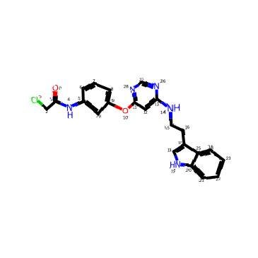 O=C(CCl)Nc1cccc(Oc2cc(NCCc3c[nH]c4ccccc34)ncn2)c1